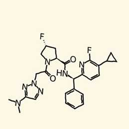 CN(C)c1cnn(CC(=O)N2C[C@H](F)C[C@H]2C(=O)N[C@H](c2ccccc2)c2ccc(C3CC3)c(F)n2)n1